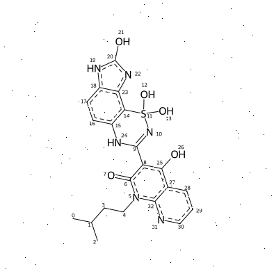 CC(C)CCn1c(=O)c(C2=NS(O)(O)c3c(ccc4[nH]c(O)nc34)N2)c(O)c2cccnc21